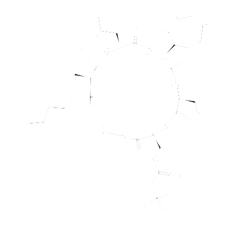 CCCCCC[C@H]1OC[C@@H](C)NC(=O)[C@H](CNC(=O)OC(C)(C)C)NC(=O)[C@H](CN)NC(=O)[C@H](C2CCCCCC2)NC(=O)[C@H](CC(C)C)N(C)C(=O)[C@@H]1C